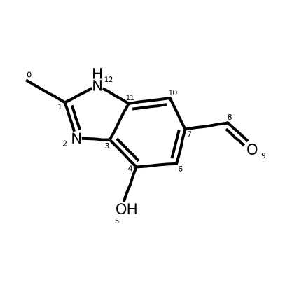 Cc1nc2c(O)cc(C=O)cc2[nH]1